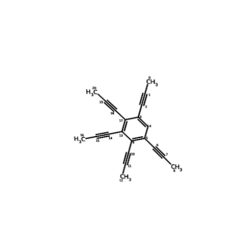 CC#Cc1[c]c(C#CC)c(C#CC)c(C#CC)c1C#CC